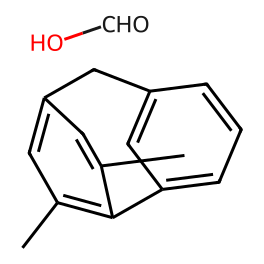 Cc1cc2cc(C)c1-c1cccc(c1)C2.O=CO